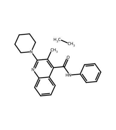 CC.Cc1c(N2CCCCC2)nc2ccccc2c1C(=O)Nc1ccccc1